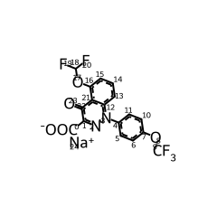 O=C([O-])c1nn(-c2ccc(OC(F)(F)F)cc2)c2cccc(OC(F)F)c2c1=O.[Na+]